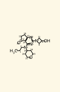 CCCN(c1nc(N2CC(O)C2)nc2c1[S+]([O-])CC2)C1CCOCC1